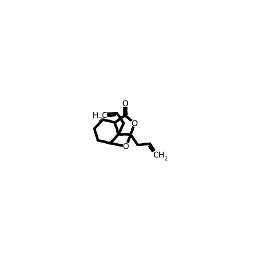 C=CCC12OC(=O)C3CCCC(O1)C32CC=C